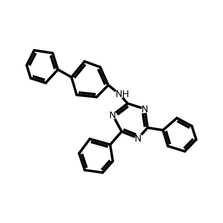 c1ccc(-c2ccc(Nc3nc(-c4ccccc4)nc(-c4ccccc4)n3)cc2)cc1